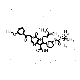 COc1cccc(C(=O)Cn2cnc3c(C(=O)O)c(N4CCCC(NC(=O)OC(C)(C)C)C4)n(CC=C(C)C)c3c2=O)c1